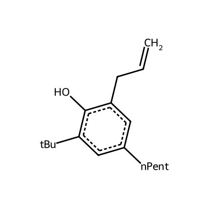 C=CCc1cc(CCCCC)cc(C(C)(C)C)c1O